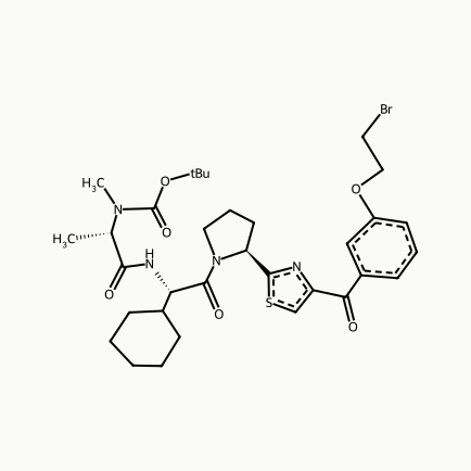 C[C@@H](C(=O)N[C@H](C(=O)N1CCC[C@H]1c1nc(C(=O)c2cccc(OCCBr)c2)cs1)C1CCCCC1)N(C)C(=O)OC(C)(C)C